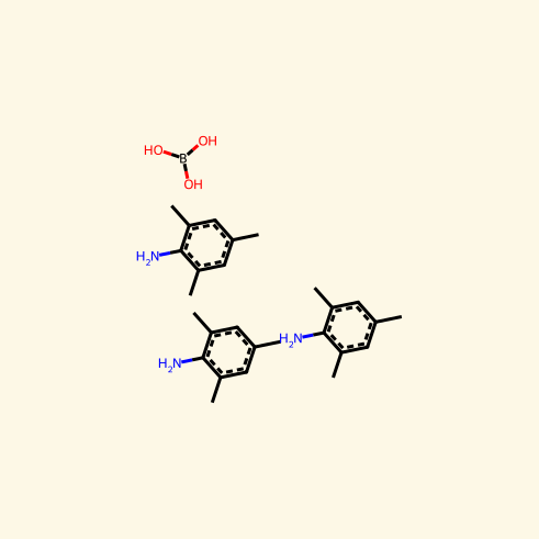 Cc1cc(C)c(N)c(C)c1.Cc1cc(C)c(N)c(C)c1.Cc1cc(C)c(N)c(C)c1.OB(O)O